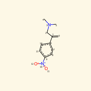 C=C(CN(C)C)c1ccc([N+](=O)[O-])cc1